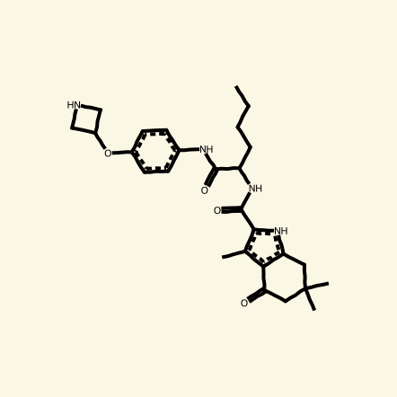 CCCCC(NC(=O)c1[nH]c2c(c1C)C(=O)CC(C)(C)C2)C(=O)Nc1ccc(OC2CNC2)cc1